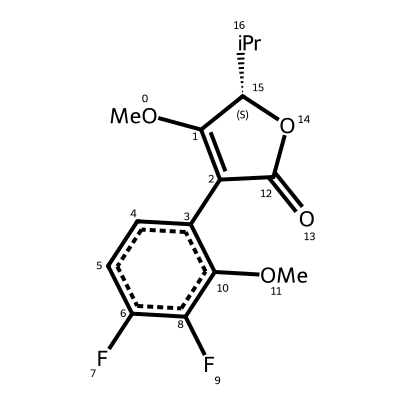 COC1=C(c2ccc(F)c(F)c2OC)C(=O)O[C@H]1C(C)C